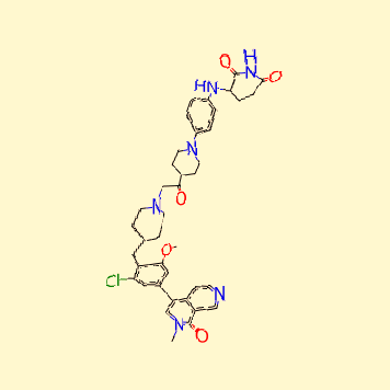 COc1cc(-c2cn(C)c(=O)c3cnccc23)cc(Cl)c1CC1CCN(CC(=O)C2CCN(c3ccc(NC4CCC(=O)NC4=O)cc3)CC2)CC1